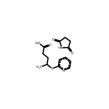 CC(CCC(=O)O)Sc1ccccn1.O=C1CCC(=O)N1